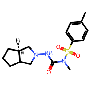 Cc1ccc(S(=O)(=O)N(C)C(=O)NN2CC3CCC[C@H]3C2)cc1